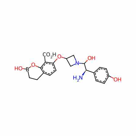 N[C@H](c1ccc(O)cc1)C(O)N1CC(Oc2ccc3c(c2C(=O)O)OB(O)CC3)C1